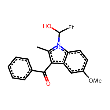 CCC(O)n1c(C)c(C(=O)c2ccccc2)c2cc(OC)ccc21